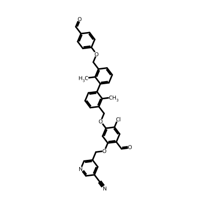 Cc1c(COc2ccc(C=O)cc2)cccc1-c1cccc(COc2cc(OCc3cncc(C#N)c3)c(C=O)cc2Cl)c1C